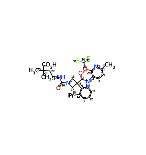 Cc1ccc(NC(=O)C2(c3ccccc3C(C)C)CN(C(=O)NCCC(C)(C)C(=O)O)C2)c(OC(F)F)n1